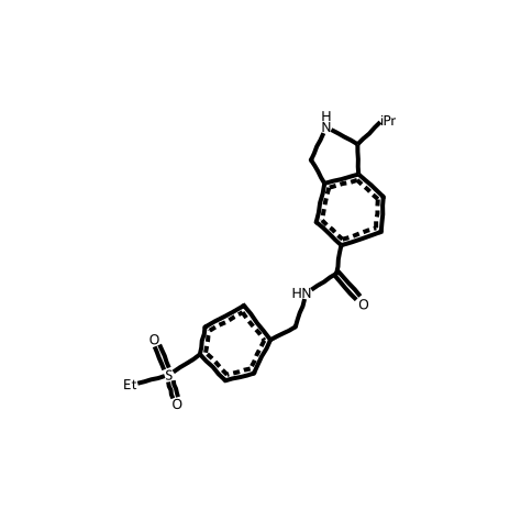 CCS(=O)(=O)c1ccc(CNC(=O)c2ccc3c(c2)CNC3C(C)C)cc1